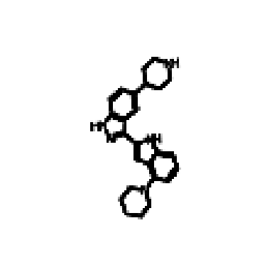 c1cc(N2CCCCC2)c2cc(-c3n[nH]c4ccc(C5CCNCC5)cc34)[nH]c2c1